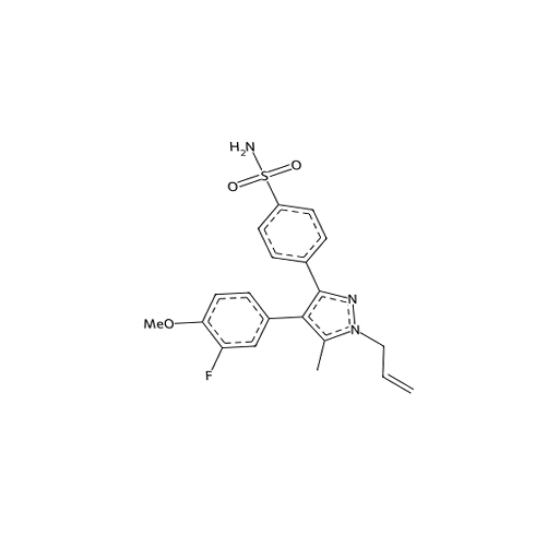 C=CCn1nc(-c2ccc(S(N)(=O)=O)cc2)c(-c2ccc(OC)c(F)c2)c1C